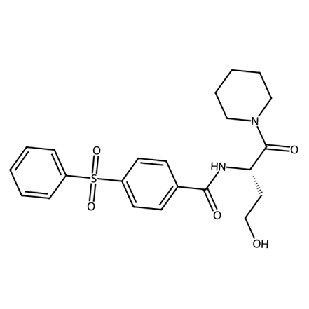 O=C(N[C@@H](CCO)C(=O)N1CCCCC1)c1ccc(S(=O)(=O)c2ccccc2)cc1